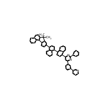 CC1(C)c2cc(-c3ccc(-c4ccc(-c5cc(-c6cccc(-c7cccnc7)c6)nc(-c6ccccc6)n5)c5ccccc45)c4ccccc34)ccc2-c2c1ccc1ccccc21